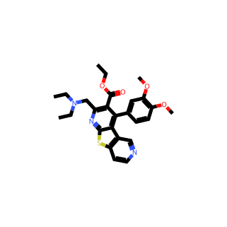 CCOC(=O)c1c(CN(CC)CC)nc2sc3ccncc3c2c1-c1ccc(OC)c(OC)c1